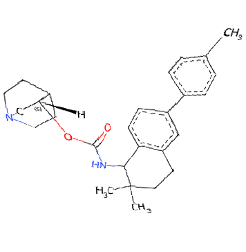 Cc1ccc(-c2ccc3c(c2)CCC(C)(C)C3NC(=O)O[C@@H]2CN3CCC2CC3)cc1